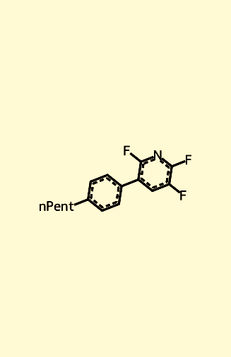 CCCCCc1ccc(-c2cc(F)c(F)nc2F)cc1